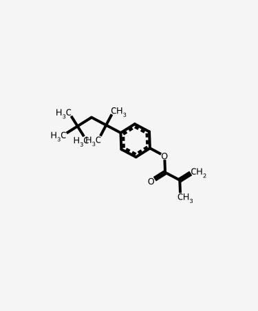 C=C(C)C(=O)Oc1ccc(C(C)(C)CC(C)(C)C)cc1